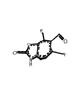 O=Cc1c(F)cc2[nH]c(=O)oc2c1F